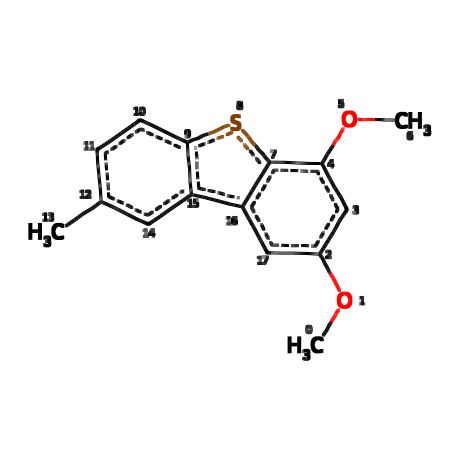 COc1cc(OC)c2sc3ccc(C)cc3c2c1